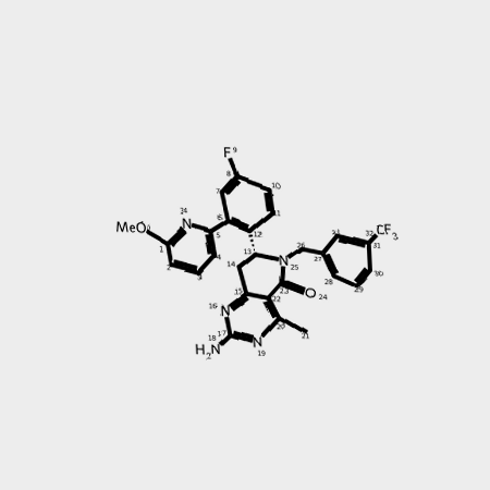 COc1cccc(-c2cc(F)ccc2[C@H]2Cc3nc(N)nc(C)c3C(=O)N2Cc2cccc(C(F)(F)F)c2)n1